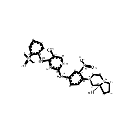 CP(C)(=O)c1ccccc1Nc1nc(Nc2ccc(N3CCN4CCC[C@H]4C3)c([N+](=O)[O-])c2)ncc1Cl